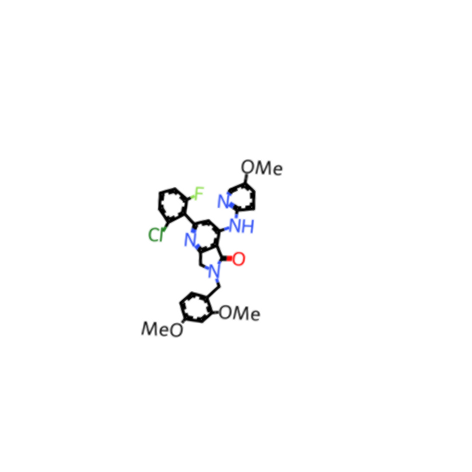 COc1ccc(Nc2cc(-c3c(F)cccc3Cl)nc3c2C(=O)N(Cc2ccc(OC)cc2OC)C3)nc1